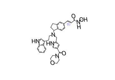 O=C(/C=C/c1ccc2c(c1)CCC2N(CCc1c[nH]c2ccccc12)Cc1cc(C(=O)N2CCOCC2)c[nH]1)NO